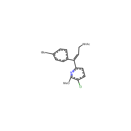 COc1nc(C(=CCNC(C)=O)c2ccc(C(C)(C)C)cc2)ccc1Cl